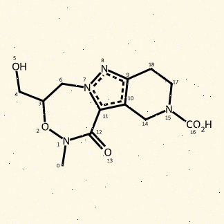 CN1OC(CO)Cn2nc3c(c2C1=O)CN(C(=O)O)CC3